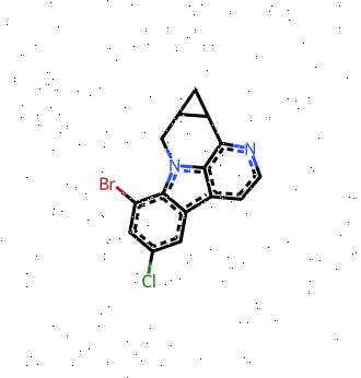 Clc1cc(Br)c2c(c1)c1ccnc3c1n2CC1CC31